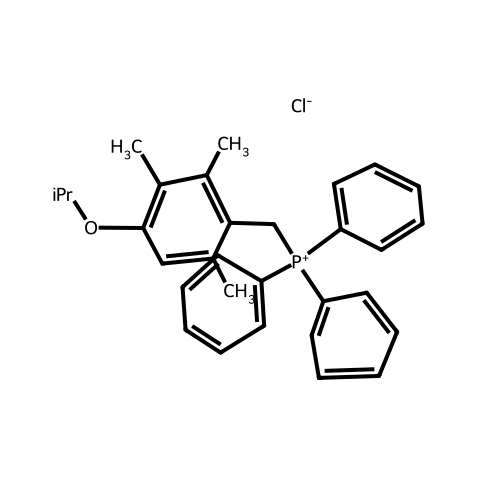 Cc1cc(OC(C)C)c(C)c(C)c1C[P+](c1ccccc1)(c1ccccc1)c1ccccc1.[Cl-]